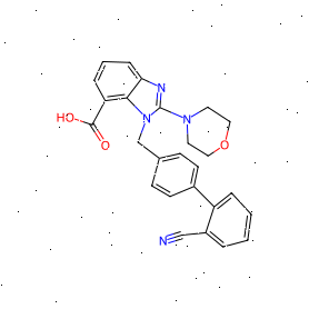 N#Cc1ccccc1-c1ccc(Cn2c(N3CCOCC3)nc3cccc(C(=O)O)c32)cc1